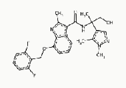 Cc1nc2c(OCc3c(F)cccc3F)cccn2c1C(=O)NC(C)(CO)c1cnn(C)c1C